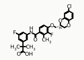 Cc1c(C(=O)Nc2cc(F)cc(C(C)(C)C(=O)O)c2)ccc(OC[C@H]2COc3ccc(Cl)cc3O2)c1F